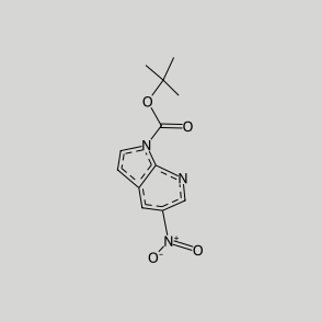 CC(C)(C)OC(=O)n1ccc2cc([N+](=O)[O-])cnc21